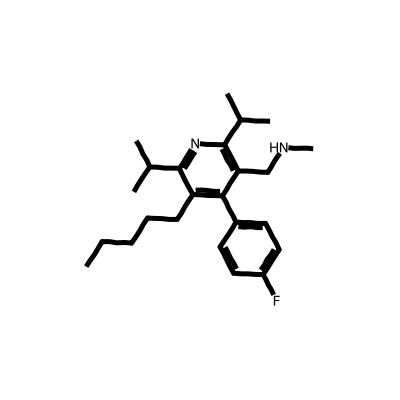 CCCCCc1c(C(C)C)nc(C(C)C)c(CNC)c1-c1ccc(F)cc1